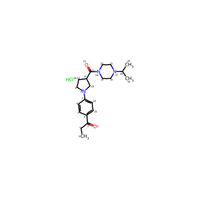 CCC(=O)c1ccc(N2CCC(C(=O)N3CCN(C(C)C)CC3)C2)cc1.Cl